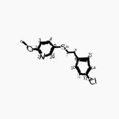 COc1ccc(SCCc2ccc(Cl)cc2)cn1